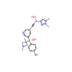 Cc1cc(C(O)C#Cc2cncc([C@@](O)(c3ccc(C(C)C)cc3)C3(C)CN(C)C3)c2)nn1C